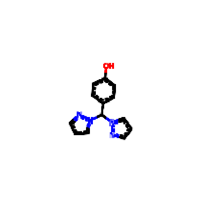 Oc1ccc(C(n2cccn2)n2cccn2)cc1